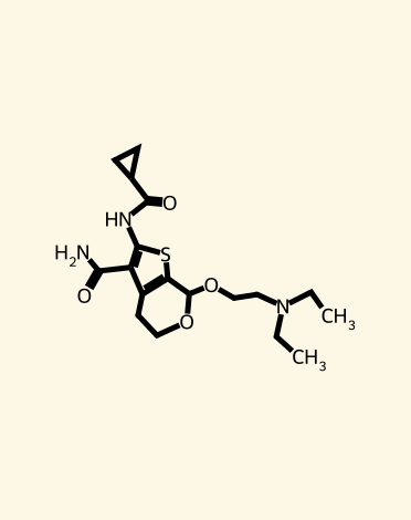 CCN(CC)CCOC1OCCc2c1sc(NC(=O)C1CC1)c2C(N)=O